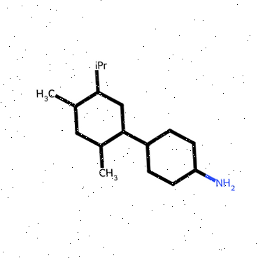 CC(C)C1CC(C2CCC(N)CC2)C(C)CC1C